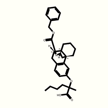 CCCCC(C)(Oc1ccc2c(c1)[C@@]13CCCC[C@H]1[C@@H](C2)N(C(=O)OCc1ccccc1)CC3)C(=O)O